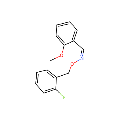 COc1ccccc1/[C]=N\OCc1ccccc1F